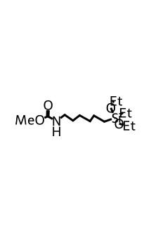 CCO[Si](CC)(CCCCCCNC(=O)OC)OCC